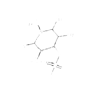 CC1C(OS(C)(=O)=O)C(C)C(C)N(P)C1C